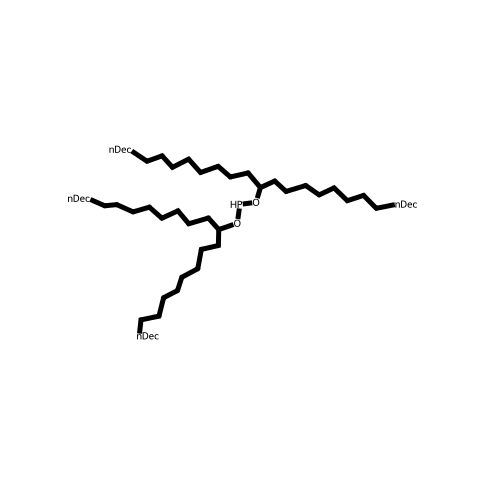 CCCCCCCCCCCCCCCCCCC(CCCCCCCCCCCCCCCCCC)OPOC(CCCCCCCCCCCCCCCCCC)CCCCCCCCCCCCCCCCCC